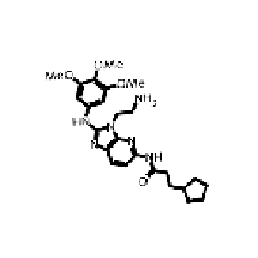 COc1cc(Nc2nc3ccc(NC(=O)CCC4CCCC4)nc3n2CCN)cc(OC)c1OC